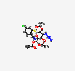 CC(=O)OCC1O[C@H](Sc2cc(Cl)ccc2C#N)C(OC(C)=O)C(N=[N+]=[N-])[C@H]1OC(C)=O